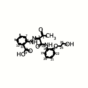 CC(=O)/C(=N/Nc1ccccc1C(=O)O)C(=O)Nc1ccccc1OCCO